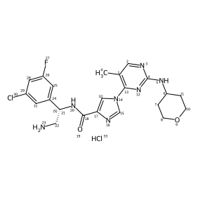 Cc1cnc(NC2CCOCC2)nc1-n1cnc(C(=O)N[C@H](CN)c2cc(F)cc(Cl)c2)c1.Cl